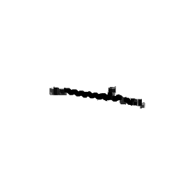 CCCCCCCCCCCCCCCCCCCCCCNCCOCCN